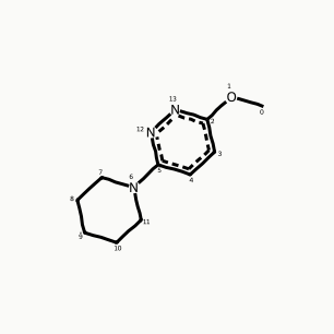 COc1ccc(N2CC[CH]CC2)nn1